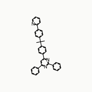 CC(C)(c1ccc(-c2ccccn2)cc1)c1ccc(-c2cc(-c3ccccc3)nc(-c3ccccc3)n2)cc1